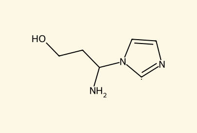 NC(CCO)n1[c]ncc1